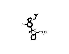 CCOC(=O)Cc1ccccc1NC(=O)c1cc(Br)c2ccn(CC3CC3)c2c1